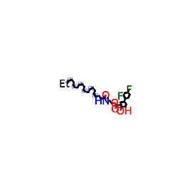 CC/C=C\C/C=C\C/C=C\C/C=C\C/C=C\C/C=C\CCC(=O)NCCOC(=O)c1cc(-c2ccc(F)cc2F)ccc1O